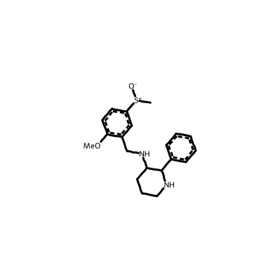 COc1ccc([S+](C)[O-])cc1CNC1CCCNC1c1ccccc1